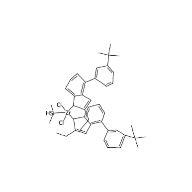 CCC1=Cc2c(-c3cccc(C(C)(C)C)c3)cccc2[CH]1[Zr]([Cl])([Cl])([CH]1C(CC)=Cc2c(-c3cccc(C(C)(C)C)c3)cccc21)[SiH](C)C